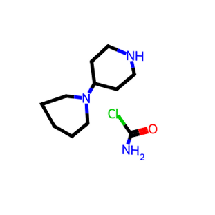 C1CCN(C2CCNCC2)CC1.NC(=O)Cl